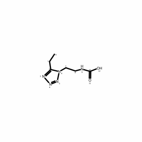 CCc1nnnn1CCNC(=O)O